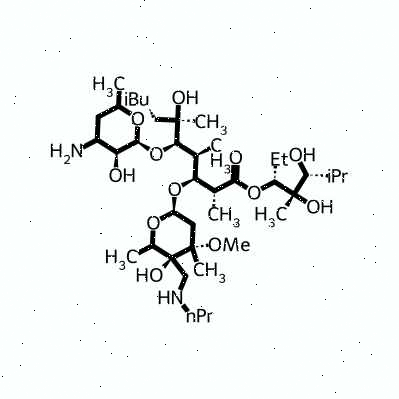 CCCNC[C@]1(O)C(C)O[C@@H](O[C@@H]([C@H](C)[C@@H](O[C@@H]2OC(C)CC(N)[C@@H]2O)[C@](C)(O)C[C@@H](C)CC)[C@@H](C)C(=O)O[C@H](CC)[C@@](C)(O)[C@H](O)C(C)C)C[C@]1(C)OC